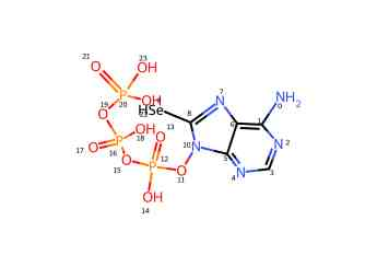 Nc1ncnc2c1nc([SeH])n2OP(=O)(O)OP(=O)(O)OP(=O)(O)O